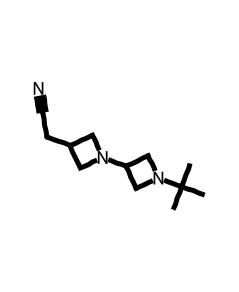 CC(C)(C)N1CC(N2CC(CC#N)C2)C1